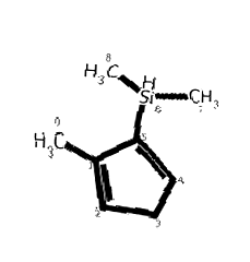 CC1=[C]CC=C1[SiH](C)C